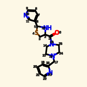 O=C(C1CSC(c2cccnc2)N1)N1CCN(Cc2ccccn2)CC1